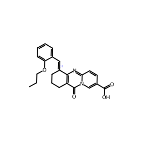 CCCOc1ccccc1/C=C1\CCCc2c1nc1ccc(C(=O)O)cn1c2=O